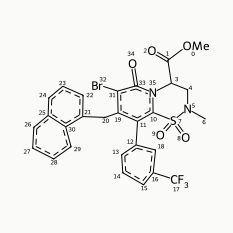 COC(=O)C1CN(C)S(=O)(=O)c2c(-c3cccc(C(F)(F)F)c3)c(Cc3cccc4ccccc34)c(Br)c(=O)n21